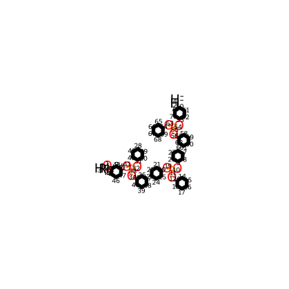 [C]=O.[H-].[H-].[H-].[Rh+3].c1ccc(OP(Oc2ccccc2)Oc2ccccc2)cc1.c1ccc(OP(Oc2ccccc2)Oc2ccccc2)cc1.c1ccc(OP(Oc2ccccc2)Oc2ccccc2)cc1